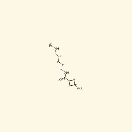 CCCCN1CC(C(=O)NCCCCCNC(C)C)C1